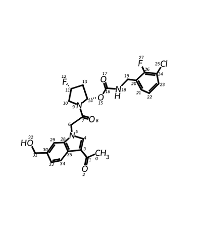 CC(=O)c1cn(CC(=O)N2C[C@H](F)C[C@@H]2OC(=O)NCc2cccc(Cl)c2F)c2cc(CO)ccc12